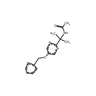 CC(=O)NC(C)(C)c1ncc(OCc2ccccc2)cn1